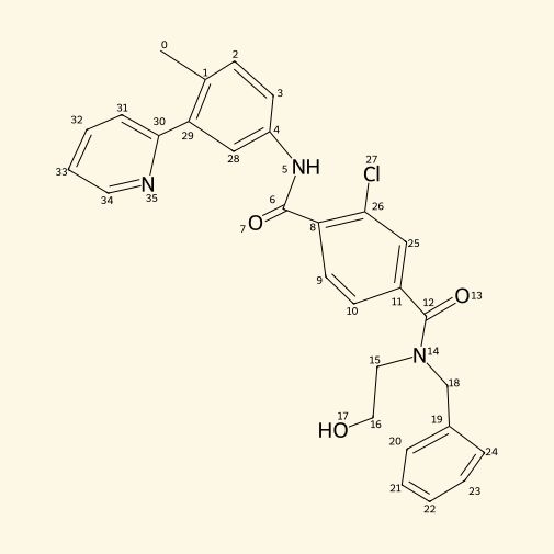 Cc1ccc(NC(=O)c2ccc(C(=O)N(CCO)Cc3ccccc3)cc2Cl)cc1-c1ccccn1